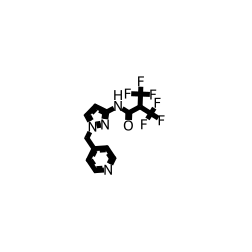 O=C(Nc1ccn(Cc2ccncc2)n1)C(C(F)(F)F)C(F)(F)F